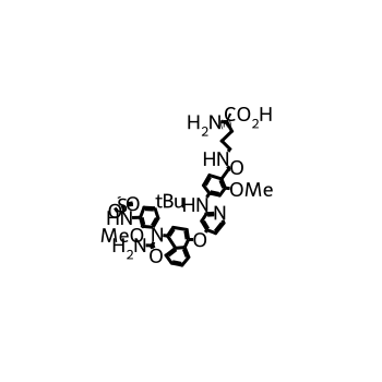 COc1cc(Nc2cc(Oc3ccc(N(C(N)=O)c4cc(C(C)(C)C)cc(NS(C)(=O)=O)c4OC)c4ccccc34)ccn2)ccc1C(=O)NCCC[C@@H](N)C(=O)O